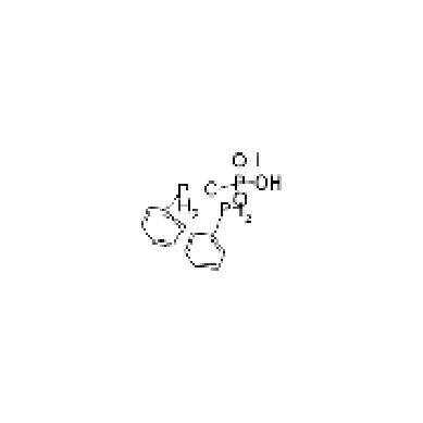 O=P(O)(O)Cl.Pc1ccccc1.Pc1ccccc1